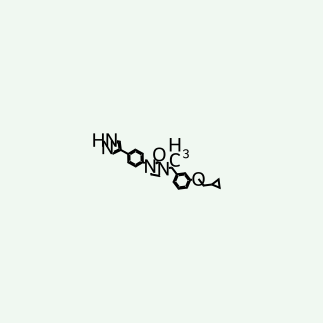 CC(c1cccc(OCC2CC2)c1)N1CCN(c2ccc(-c3cn[nH]c3)cc2)C1=O